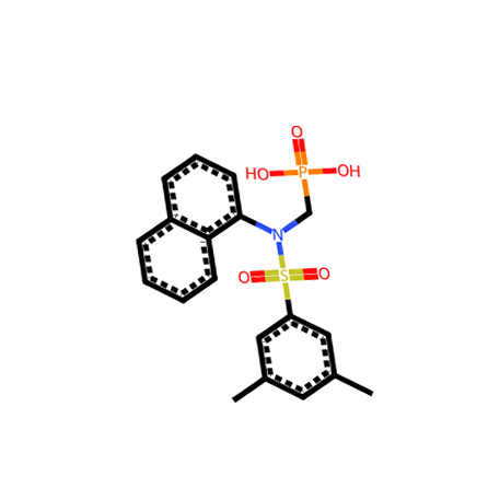 Cc1cc(C)cc(S(=O)(=O)N(CP(=O)(O)O)c2cccc3ccccc23)c1